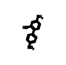 Nc1ccc(-c2ccc([N+](=O)[O-])cn2)c(O)c1